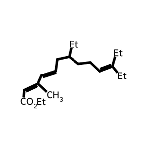 CCOC(=O)/C=C(C)/C=C/CC(CC)CCC=C(CC)CC